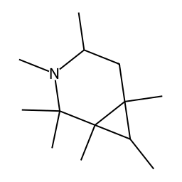 CC1CC2(C)C(C)C2(C)C(C)(C)N1C